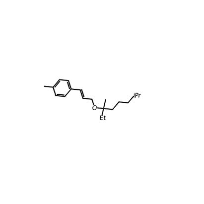 CCC(C)(CCCC(C)C)OC/C=C/c1ccc(C)cc1